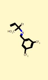 C=CC(CC)(N=Cc1cc(C(F)(F)F)cc(C(F)(F)F)c1)C(=O)O